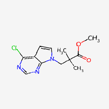 COC(=O)C(C)(C)Cn1ccc2c(Cl)ncnc21